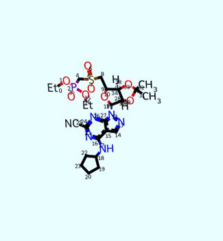 CCOP(=O)(CS(=O)(=O)CC1O[C@@H](n2ncc3c(NC4CCCC4)nc(C#N)nc32)[C@@H]2OC(C)(C)O[C@H]12)OCC